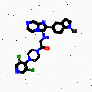 CCn1ccc2cc(-c3nc4cnccn4c3NCC(=O)N3CCN(c4c(Cl)cncc4Cl)CC3)ccc21